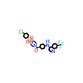 O=C(c1ccc(Nc2ccnc3cc(C(F)(F)F)ccc23)cc1)N1CCN(S(=O)(=O)c2ccc(Cl)cc2)CC1